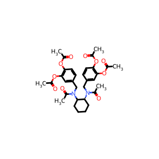 CC(=O)Oc1ccc(CN(C(C)=O)C2CCCC[C@@H]2N(Cc2ccc(OC(C)=O)c(OC(C)=O)c2)C(C)=O)cc1OC(C)=O